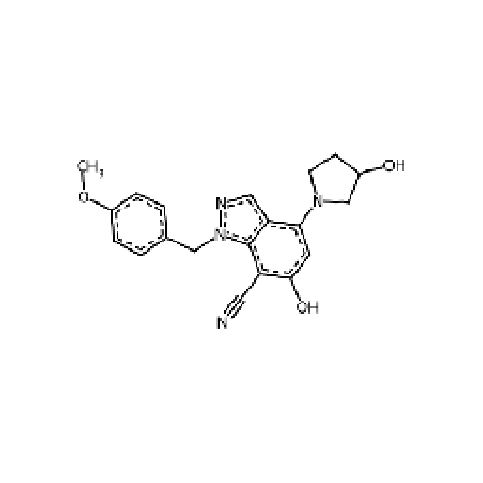 COc1ccc(Cn2ncc3c(N4CCC(O)C4)cc(O)c(C#N)c32)cc1